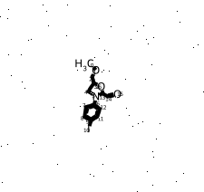 COCC1CN(c2ccc(I)cc2)C(C=O)O1